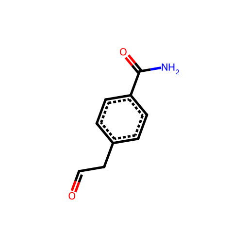 NC(=O)c1ccc(CC=O)cc1